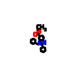 CCOC(=O)c1ccc2nc(-c3ccccc3)n(Cc3ccccc3)c2c1